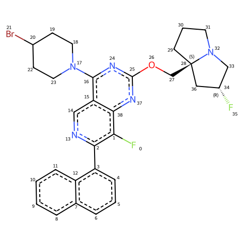 Fc1c(-c2cccc3ccccc23)ncc2c(N3CCC(Br)CC3)nc(OC[C@@]34CCCN3C[C@H](F)C4)nc12